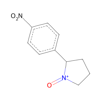 O=[N+]([O-])c1ccc(C2CCC[N+]2=O)cc1